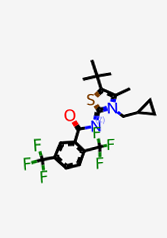 Cc1c(C(C)(C)C)s/c(=N\C(=O)c2cc(C(F)(F)F)ccc2C(F)(F)F)n1CC1CC1